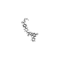 CCOC(=O)c1cnc(N2CCC(CNC(=O)c3cc4nc(Cl)nc(N5CCOCC5)c4s3)CC2)nc1